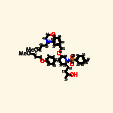 COCCCOc1ccc([C@H]2C[C@H](CCC(C)O)N(S(=O)(=O)c3ccc(C)cc3)C[C@@H]2OCc2ccc3c(c2)N(CCCOC)CCO3)cc1